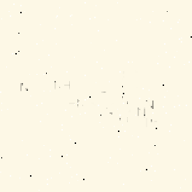 Cc1ccc2c(c1)N(c1ccc(NCCNC3CCN(C)CC3)cn1)C(=O)N(C(C)C)N=C2C1CCCCC1